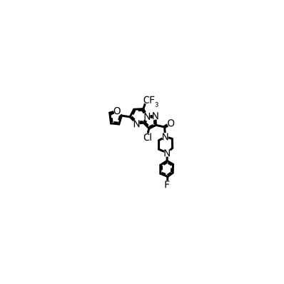 O=C(c1nn2c(C(F)(F)F)cc(-c3ccco3)nc2c1Cl)N1CCN(c2ccc(F)cc2)CC1